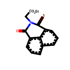 CCOC(=O)CN1C(=O)c2cccc3cccc(c23)C1=S